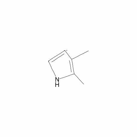 Cc1[c]c[nH]c1C